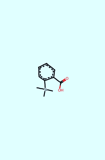 C[Si](C)(C)c1ccccc1C(=O)O